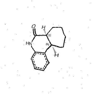 O=C1Nc2ccccc2[C@@H]2CCCC[C@H]12